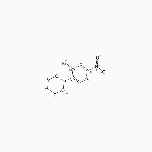 O=[N+]([O-])c1ccc(C2OCCCO2)c(Br)c1